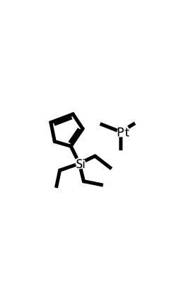 CC[Si](CC)(CC)C1=CC=CC1.[CH3][Pt]([CH3])[CH3]